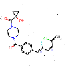 C=C(Cl)/C=C\C(F)=C\c1ccc(C(=O)N2CCN(C(=O)C3(O)CC3)CC2)cc1